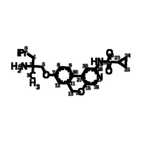 CC(C)CC(C)(N)COc1ccc2c(c1)COc1cnc(NS(=O)(=O)C3CC3)cc1-2